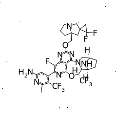 Cc1nc(N)cc(-c2nc3c4c(nc(OC[C@@]56CCCN5CC5(CC5(F)F)C6)nc4c2F)N2C[C@H]4CC[C@H](N4)[C@H]2[C@H](C(F)(F)F)O3)c1C(F)(F)F